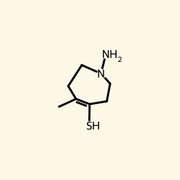 CC1=C(S)CCN(N)CC1